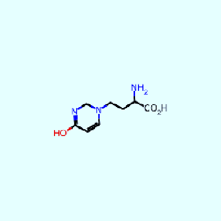 NC(CCN1C=CC(O)=NC1)C(=O)O